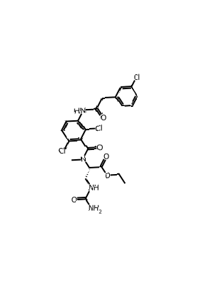 CCOC(=O)[C@H](CNC(N)=O)N(C)C(=O)c1c(Cl)ccc(NC(=O)Cc2cccc(Cl)c2)c1Cl